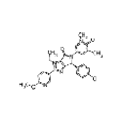 CCn1c(-c2ccc(OC)nc2)nc2c1C(=O)N(c1cc(C)c(=O)n(C)c1)[C@H]2c1ccc(Cl)cc1